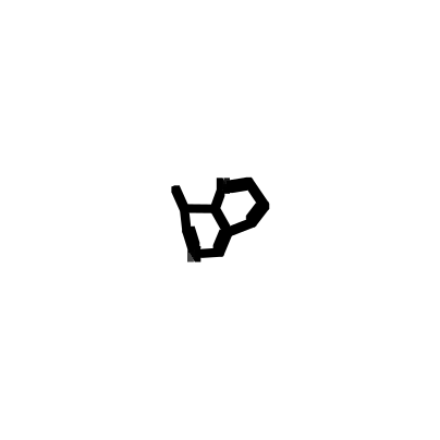 CC1C=NC=C2C=CC=NC21